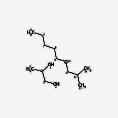 CC(O)CO.CCCCCOCC(C)C